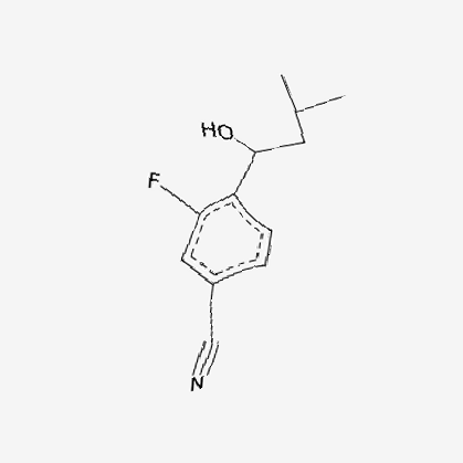 CC(C)CC(O)c1ccc(C#N)cc1F